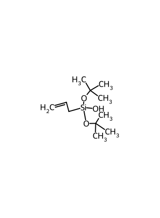 C=CC[Si](O)(OC(C)(C)C)OC(C)(C)C